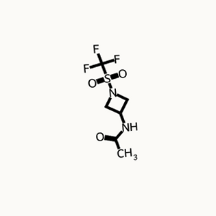 CC(=O)NC1CN(S(=O)(=O)C(F)(F)F)C1